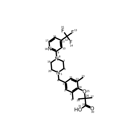 Cc1cc(CN2CCN(c3cc(C(F)(F)F)ccn3)CC2)cc(C)c1OC(C)(C)C(=O)O